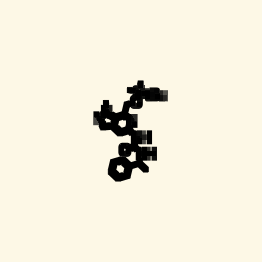 CC(NC(=O)Nc1cc2cnn(C)c2c(CO[Si](C)(C)C(C)(C)C)n1)c1ccccc1